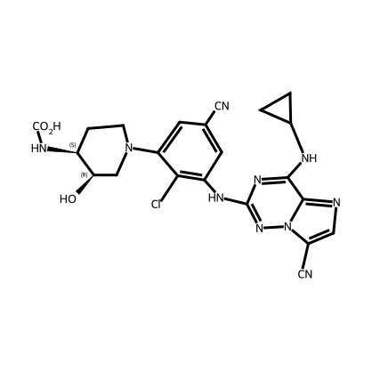 N#Cc1cc(Nc2nc(NC3CC3)c3ncc(C#N)n3n2)c(Cl)c(N2CC[C@H](NC(=O)O)[C@H](O)C2)c1